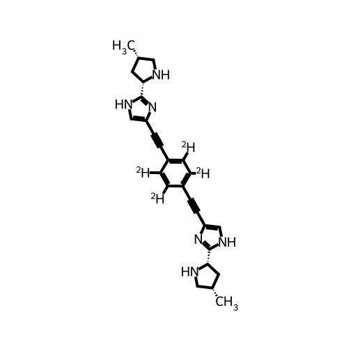 [2H]c1c([2H])c(C#Cc2c[nH]c([C@@H]3C[C@H](C)CN3)n2)c([2H])c([2H])c1C#Cc1c[nH]c([C@@H]2C[C@H](C)CN2)n1